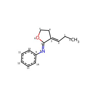 CC/C=C1\CCO\C1=N/c1ccccc1